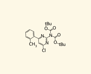 Cc1ccccc1-c1cc(Cl)nc(N(C(=O)OC(C)(C)C)C(=O)OC(C)(C)C)n1